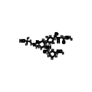 CC(C)(O)CCn1cc2cc(NC(=O)c3cccc([N+](=O)[O-])c3)c(-c3ccc(C(=O)NCC(N)=O)cc3)cc2n1